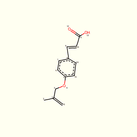 C=C(C)COc1ccc(C=CC(=O)O)cc1